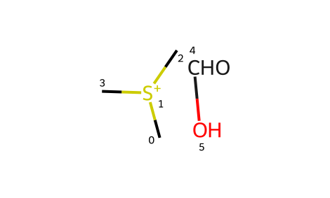 C[S+](C)C.O=CO